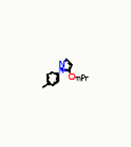 CCCOc1ccnn1-c1ccc(C)cc1